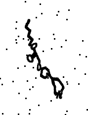 CCCCCCOC(=O)COC1CCN(C2CCN(C)CC2)CC1